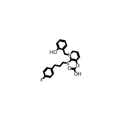 O=C(O)OC1=C(SCCCc2ccc(F)cc2)N(Cc2ccccc2O)CC=C1